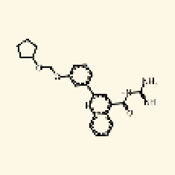 N=C(N)NC(=O)c1cc(-c2cccc(OCOC3CCCC3)c2)nc2ccccc12